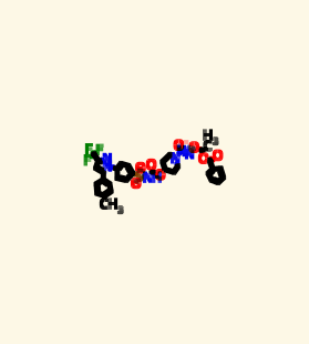 Cc1ccc(-c2cc(C(F)(F)F)nn2-c2ccc(S(=O)(=O)NC(=O)OC3CCN(/[N+]([O-])=N/OC(C)OC(=O)c4ccccc4)CC3)cc2)cc1